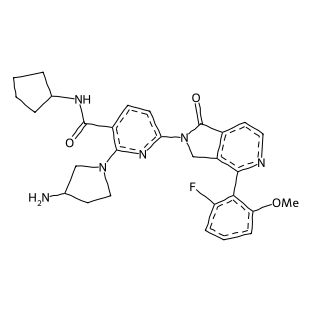 COc1cccc(F)c1-c1nccc2c1CN(c1ccc(C(=O)NC3CCCC3)c(N3CCC(N)C3)n1)C2=O